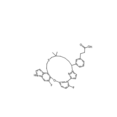 CC1(C)CCCC(c2cccc(CCC(=O)O)c2)n2ccc(n2)-c2cc(ccc2F)Oc2c(F)cc3[nH]ccc3c2CCSC1